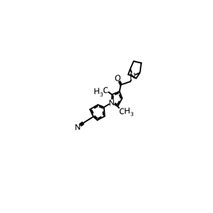 Cc1cc(C(=O)CN2C3CCC2CC3)c(C)n1-c1ccc(C#N)cc1